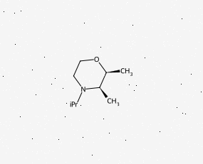 CC(C)N1CCO[C@@H](C)[C@H]1C